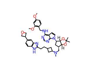 COc1ccc(CNc2ncnc3c2ccn3[C@@H]2C[C@H](CN(C)C3CC(CCc4nc5cc(C6COC6)ccc5[nH]4)C3)[C@H]3OC(C)(C)O[C@H]32)c(OC)c1